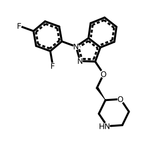 Fc1ccc(-n2nc(OC[C@@H]3CNCCO3)c3ccccc32)c(F)c1